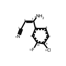 N#C/C=C(/N)c1ccc(Cl)c(F)c1